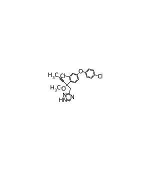 CC#CC(Cc1nc[nH]n1)(OC)c1ccc(Oc2ccc(Cl)cc2)cc1Cl